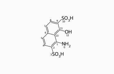 Nc1c(S(=O)(=O)O)ccc2ccc(S(=O)(=O)O)c(O)c12